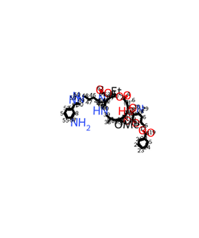 CC[C@H]1OC(=O)[C@H](C)C(=O)[C@H](C)[C@@H](O[C@@H]2OC(COC(=O)c3ccccc3)CC(N(C)C)C2O)[C@](C)(OC)C[C@@H](C)CN[C@H](C)[C@H]2N(CCCCn3cc(-c4cccc(N)c4)nn3)C(=O)O[C@]12C